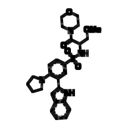 COCC(NS(=O)(=O)c1ccc(N2CCCC2)c(-c2cc3ccccc3[nH]2)c1)C(=O)N1CCOCC1